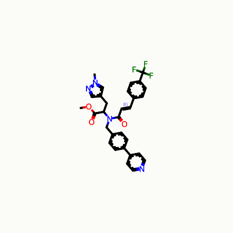 COC(=O)C(Cc1cnn(C)c1)N(Cc1ccc(-c2ccncc2)cc1)C(=O)/C=C/c1ccc(C(F)(F)F)cc1